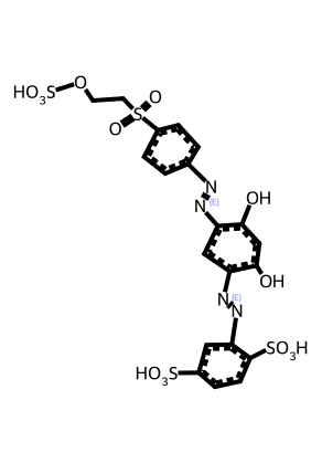 O=S(=O)(O)OCCS(=O)(=O)c1ccc(/N=N/c2cc(/N=N/c3cc(S(=O)(=O)O)ccc3S(=O)(=O)O)c(O)cc2O)cc1